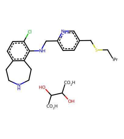 CC(C)CSCc1ccc(CNc2c(Cl)ccc3c2CCNCC3)nc1.O=C(O)C(O)C(O)C(=O)O